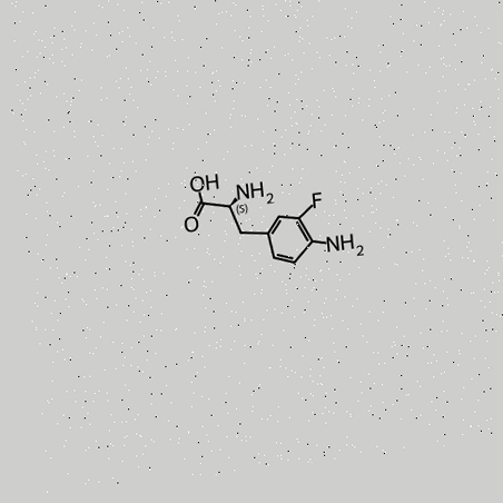 Nc1ccc(C[C@H](N)C(=O)O)cc1F